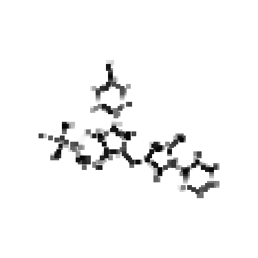 O=c1n(Cc2nc(Br)n(-c3ccccn3)n2)nc(-c2ccc(Cl)cc2)n1C[C@H](O)C(F)(F)F